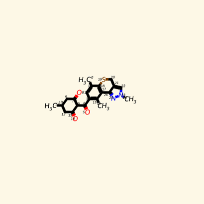 Cc1cc(C(=O)C2C(=O)CC(C)CC2=O)c(C)c2c1SCc1cn(C)nc1-2